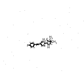 CN1C(c2ncc(C#Cc3ccc(F)cc3)cn2)NCC1(C)C